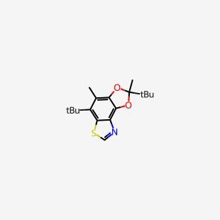 Cc1c2c(c3ncsc3c1C(C)(C)C)OC(C)(C(C)(C)C)O2